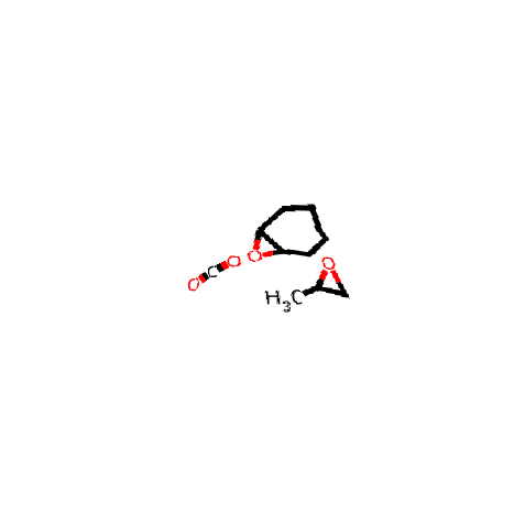 C1CCC2OC2C1.CC1CO1.O=C=O